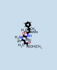 CN[C@H](C(=O)N[C@H](C(=O)N(C)[C@H](/C=C(\C)C(=O)N(C)O)C(C)C)C(C)(C)C)C(C)(C)c1ccccc1